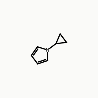 c1ccn(C2CC2)c1